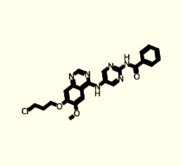 COc1cc2c(Nc3cnc(NC(=O)c4ccccc4)nc3)ncnc2cc1OCCCCl